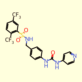 O=C(Nc1ccncc1)Nc1ccc(CNS(=O)(=O)c2cc(C(F)(F)F)ccc2C(F)(F)F)cc1